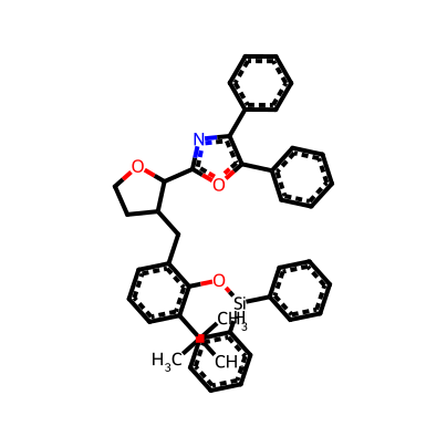 CC(C)(C)c1cccc(CC2CCOC2c2nc(-c3ccccc3)c(-c3ccccc3)o2)c1O[SiH](c1ccccc1)c1ccccc1